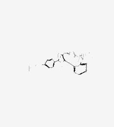 CC(C)c1nc(-c2ccc(C(F)(F)F)cc2)sc1-c1c[c]ccc1[N+](=O)[O-]